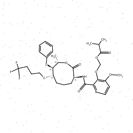 COc1ccnc(C(=O)N[C@H]2CCC[C@H](OCCCC(F)(F)F)[C@@H](Oc3ccccc3)[C@H](C)OC2=O)c1OCOC(=O)C(C)C